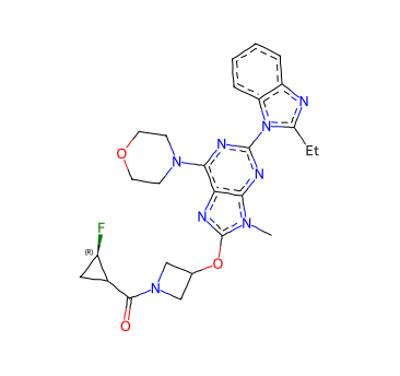 CCc1nc2ccccc2n1-c1nc(N2CCOCC2)c2nc(OC3CN(C(=O)C4C[C@H]4F)C3)n(C)c2n1